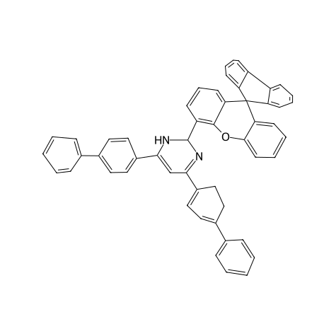 C1=C(C2=NC(c3cccc4c3Oc3ccccc3C43c4ccccc4-c4ccccc43)NC(c3ccc(-c4ccccc4)cc3)=C2)CCC(c2ccccc2)=C1